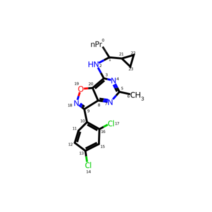 CCCC(Nc1nc(C)nc2c(-c3ccc(Cl)cc3Cl)noc12)C1CC1